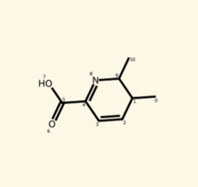 CC1C=CC(C(=O)O)=NC1C